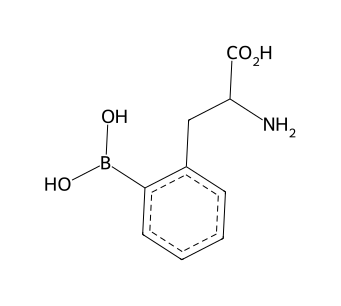 NC(Cc1ccccc1B(O)O)C(=O)O